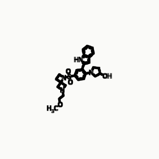 COCCN1CC2(CCN2S(=O)(=O)c2ccc(N3CCC(O)C3)c(-c3cc4ccccc4[nH]3)c2)C1